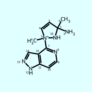 CC1(N)C=C[N+](C)(c2nccc3[nH]ncc23)N1